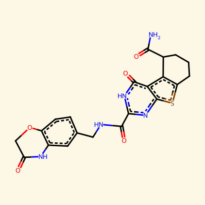 NC(=O)C1CCCc2sc3nc(C(=O)NCc4ccc5c(c4)NC(=O)CO5)[nH]c(=O)c3c21